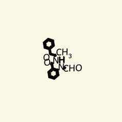 CC(NC(=O)c1ccccc1NC=O)C(=O)c1ccccc1